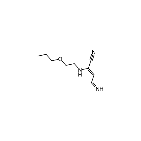 CCCOCCN/C(C#N)=C\C=N